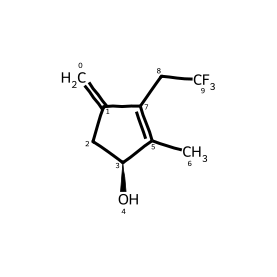 C=C1C[C@H](O)C(C)=C1CC(F)(F)F